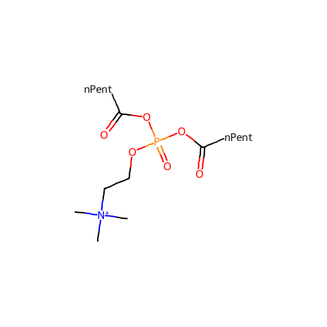 CCCCCC(=O)OP(=O)(OCC[N+](C)(C)C)OC(=O)CCCCC